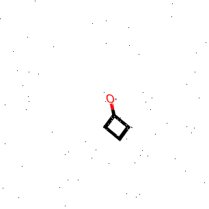 [O]C1[CH]CC1